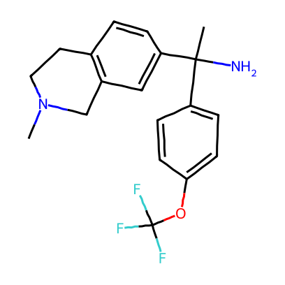 CN1CCc2ccc(C(C)(N)c3ccc(OC(F)(F)F)cc3)cc2C1